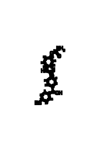 CCc1ccc(C(O)c2ccc(-c3nc4cc(OC(N)=O)ccc4[nH]3)cc2)cc1